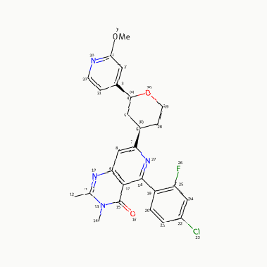 COc1cc([C@@H]2C[C@H](c3cc4nc(C)n(C)c(=O)c4c(-c4ccc(Cl)cc4F)n3)CCO2)ccn1